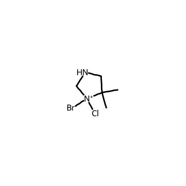 CC1(C)CNC[N+]1(Cl)Br